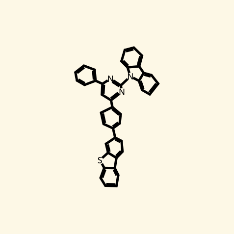 c1ccc(-c2cc(-c3ccc(-c4ccc5c(c4)sc4ccccc45)cc3)nc(-n3c4ccccc4c4ccccc43)n2)cc1